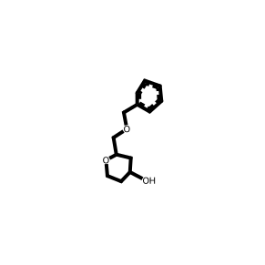 OC1CCOC(COCc2ccccc2)C1